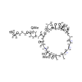 CO[C@@H]1C[C@H](C[C@@H](C)[C@@H]2CC(=O)[C@H](C)/C=C(\C)[C@@H](O)[C@@H](OC)C(=O)[C@H](C)C[C@H](C)/C=C/C=C/C=C(\C)CC[C@@H]3CC[C@@H](C)[C@@](O)(O3)C(=O)C(=O)N3CCCCC3C(=O)O2)CC[C@H]1OCCCO[Si](C)(C)C(C)(C)C